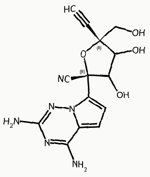 C#C[C@]1(CO)O[C@@](C#N)(c2ccc3c(N)nc(N)nn23)C(O)C1O